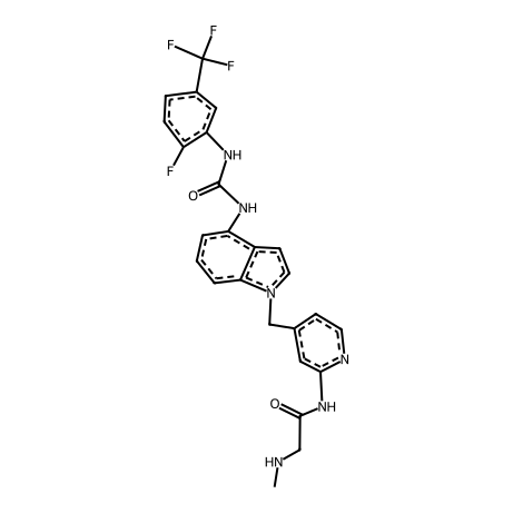 CNCC(=O)Nc1cc(Cn2ccc3c(NC(=O)Nc4cc(C(F)(F)F)ccc4F)cccc32)ccn1